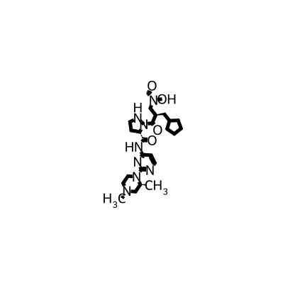 C[C@@H]1CN(C)CCN1c1nccc(NC(=O)[C@@H]2CCNN2C(=O)[C@H](CC2CCCC2)CN(O)C=O)n1